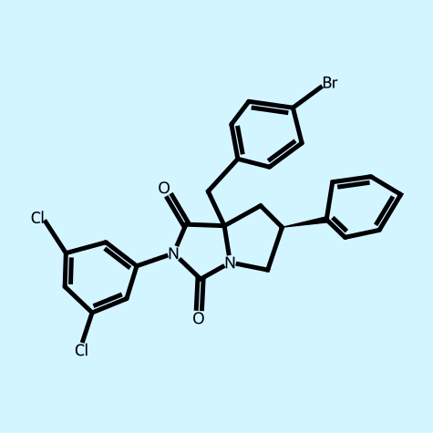 O=C1N(c2cc(Cl)cc(Cl)c2)C(=O)C2(Cc3ccc(Br)cc3)C[C@@H](c3ccccc3)CN12